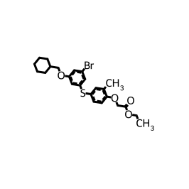 CCOC(=O)COc1ccc(Sc2cc(Br)cc(OCC3CCCCC3)c2)cc1C